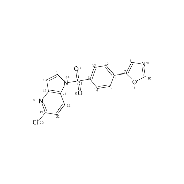 O=S(=O)(c1ccc(-c2cnco2)cc1)n1ccc2nc(Cl)ccc21